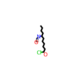 CCCCC(CCCCCC(=O)Cl)N=C=O